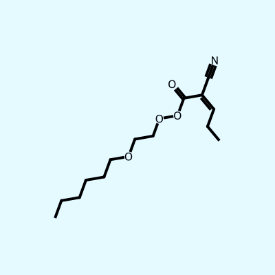 CCC=C(C#N)C(=O)OOCCOCCCCCC